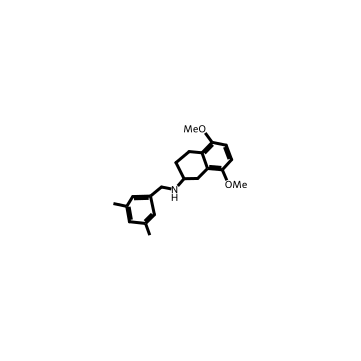 COc1ccc(OC)c2c1CCC(NCc1cc(C)cc(C)c1)C2